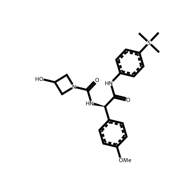 COc1ccc([C@@H](NC(=O)N2CC(O)C2)C(=O)Nc2ccc(S(C)(C)C)cc2)cc1